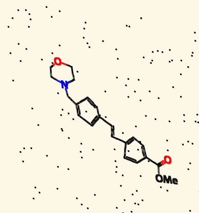 COC(=O)c1ccc(/C=C/c2ccc(CN3CCOCC3)cc2)cc1